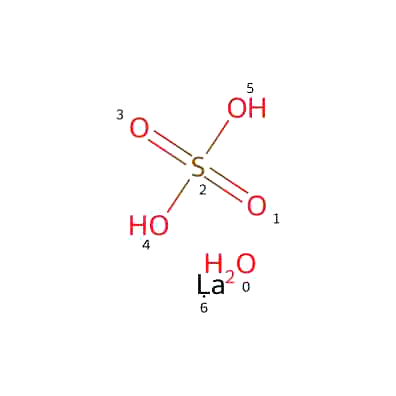 O.O=S(=O)(O)O.[La]